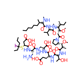 CCCCCCC(C)[C@H](NC)C(=O)N[C@H](C(=O)N(C)[C@@H]([C@@H](C)CC)[C@@H](CC(=O)N1CCC[C@H]1C(OC)[C@@H](C)C(=O)N[C@H](C(=O)N[C@@H](CCC(=O)O)C(=O)N[C@@H](CNC(=O)[C@H](CN)NC(=O)C(CC(=O)O)SC(I)(CC)CCC)C(=O)O)C(C)O)OC)C(C)C